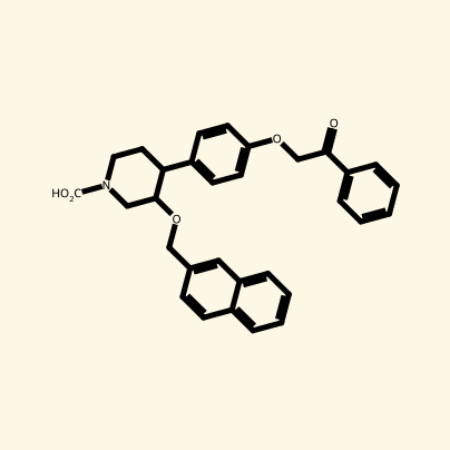 O=C(COc1ccc(C2CCN(C(=O)O)CC2OCc2ccc3ccccc3c2)cc1)c1ccccc1